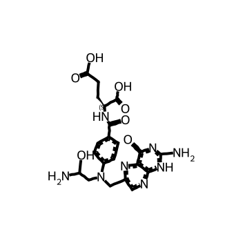 Nc1nc(=O)c2nc(CN(CC(N)O)c3ccc(C(=O)N[C@@H](CCC(=O)O)C(=O)O)cc3)cnc2[nH]1